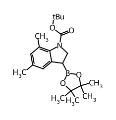 Cc1cc(C)c2c(c1)C(B1OC(C)(C)C(C)(C)O1)CN2C(=O)OC(C)(C)C